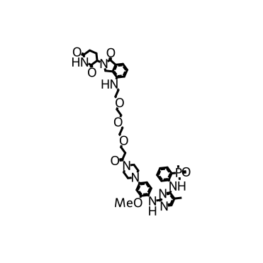 COc1cc(N2CCN(C(=O)CCOCCOCCOCCNc3cccc4c3CN(C3CCC(=O)NC3=O)C4=O)CC2)ccc1Nc1ncc(C)c(Nc2ccccc2P(C)(C)=O)n1